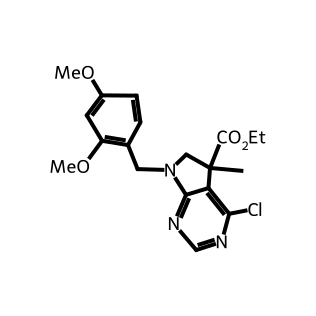 CCOC(=O)C1(C)CN(Cc2ccc(OC)cc2OC)c2ncnc(Cl)c21